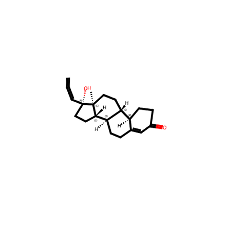 C=C=C[C@]1(O)CC[C@H]2[C@@H]3CCC4=CC(=O)CC[C@@H]4[C@H]3CC[C@@]21C